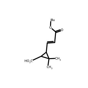 CCC(C)OC(=O)C=CC1C(C(=O)O)C1(C)C